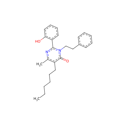 CCCCCCc1c(C)nc(-c2ccccc2O)n(CCc2ccccc2)c1=O